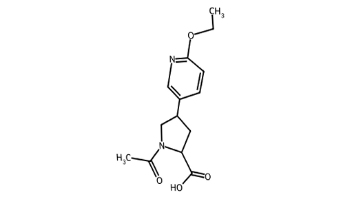 CCOc1ccc(C2CC(C(=O)O)N(C(C)=O)C2)cn1